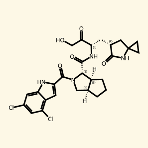 O=C1NC2(CC2)C[C@H]1C[C@H](NC(=O)[C@@H]1[C@H]2CCC[C@H]2CN1C(=O)c1cc2c(Cl)cc(Cl)cc2[nH]1)C(=O)CO